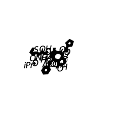 CC(=O)O[C@@]12CO[C@@H]1C[C@H](C)[C@@]1(C)C(=O)[C@H](OC(=O)C3CCCC3)C3=C(C)[C@@H](OC(=O)[C@H](O)[C@@H](NC(=O)OC(C)C)c4cccs4)C[C@@](O)([C@@H](OC(=O)c4ccccc4)C12)C3(C)C